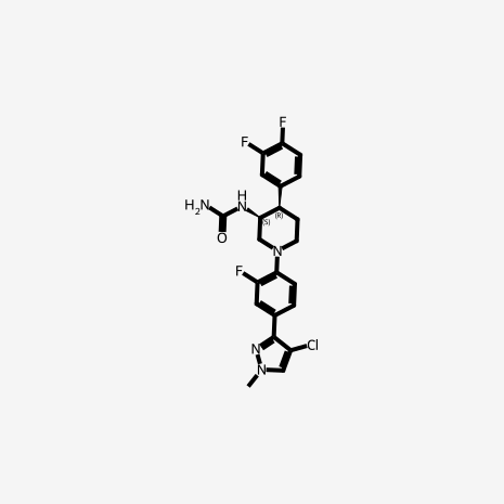 Cn1cc(Cl)c(-c2ccc(N3CC[C@H](c4ccc(F)c(F)c4)[C@H](NC(N)=O)C3)c(F)c2)n1